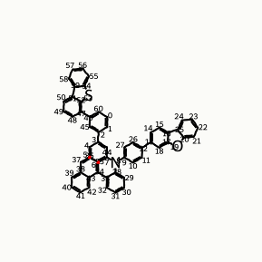 c1cc(-c2cccc(N(c3ccc(-c4ccc5c(c4)oc4ccccc45)cc3)c3ccccc3-c3cccc4ccccc34)c2)cc(-c2cccc3c2sc2ccccc23)c1